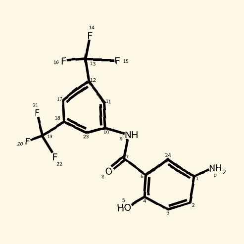 Nc1ccc(O)c(C(=O)Nc2cc(C(F)(F)F)cc(C(F)(F)F)c2)c1